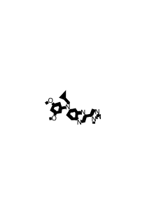 COc1cc(OC)cc(N(CC2CC2)c2ccc3ncc(-c4cnnn4C)nc3c2)c1